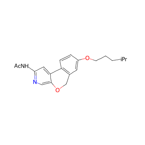 CC(=O)Nc1cc2c(cn1)OCc1cc(OCCCC(C)C)ccc1-2